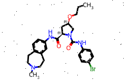 CCCO[C@@H]1C[C@H](C(=O)Nc2ccc3c(c2)CCN(C)CC3)N(C(=O)Nc2ccc(Br)cc2)C1